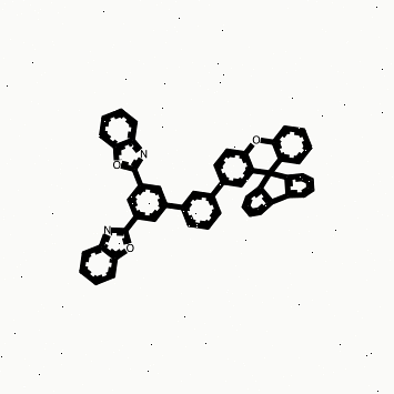 c1cc(-c2cc(-c3nc4ccccc4o3)cc(-c3nc4ccccc4o3)c2)cc(-c2ccc3c(c2)C2(c4ccccc4O3)c3ccccc3-c3ccccc32)c1